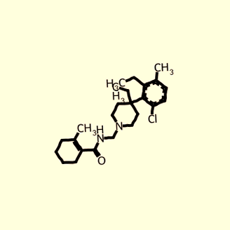 CCc1c(C)ccc(Cl)c1C1(CC)CCN(CNC(=O)C2=C(C)CCCC2)CC1